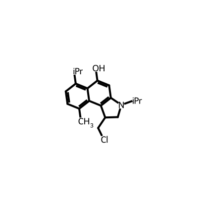 Cc1ccc(C(C)C)c2c(O)cc3c(c12)C(CCl)CN3C(C)C